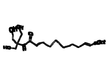 CCCCCCCC/C=C/CCCCCCCC(=O)NC(CO)(CO)CO